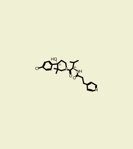 CC(C)[C@@H](NC(=O)CCc1ccncc1)C(=O)N1CC[C@](O)(c2ccc(Cl)cc2)C(C)(C)C1